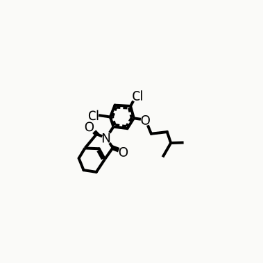 CC(C)CCOc1cc(N2C(=O)C3=CC(CCC3)C2=O)c(Cl)cc1Cl